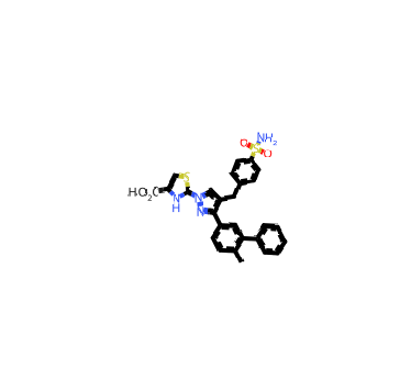 Cc1ccc(-c2nn(C3NC(C(=O)O)=CS3)cc2Cc2ccc(S(N)(=O)=O)cc2)cc1-c1ccccc1